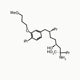 COCCCOc1cc(C[C@H](CC[C@H](O)C[C@@](N)(C(=O)O)C(C)C)C(C)C)ccc1C(C)C